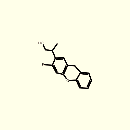 CC(CO)c1cc2c(cc1F)Oc1ccccc1C2